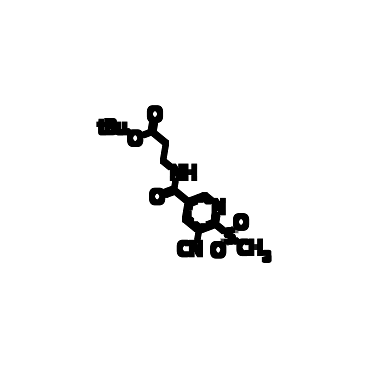 CC(C)(C)OC(=O)CCNC(=O)c1cnc(S(C)(=O)=O)c(C#N)c1